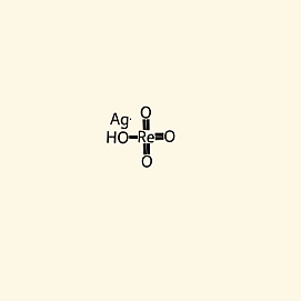 [Ag].[O]=[Re](=[O])(=[O])[OH]